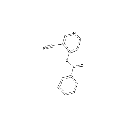 N#Cc1cn[c]cc1OC(=O)c1ccccc1